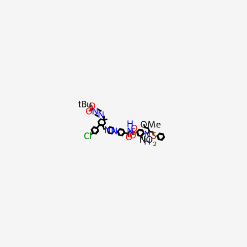 COCCC(CSc1ccccc1)Nc1ccc(S(=O)(=O)NC(=O)c2ccc(N3CCN(CC4=C(c5ccc(Cl)cc5)CCC(C)(CN5CCN(C(=O)OC(C)(C)C)CC5)C4)CC3)cc2)cc1[N+](=O)[O-]